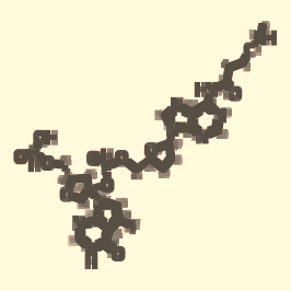 CNCCCC(=O)Nc1ncnc2c1ncn2[C@H]1CC[C@@H](CO[PH](=O)O[C@@]2(n3cc(F)c4c(=O)[nH]cnc43)CO[C@H](CO[PH](=O)O)C2)O1